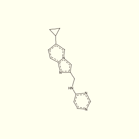 [c]1cc(NCc2cn3cc(C4CC4)ccc3n2)ncn1